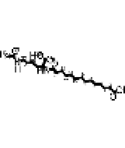 O=C(O)CCCCCCCCCCCCC(=O)NC(CCCCNC(=O)CS)C(=O)O